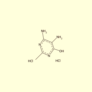 Cc1nc(N)c(N)c(O)n1.Cl.Cl